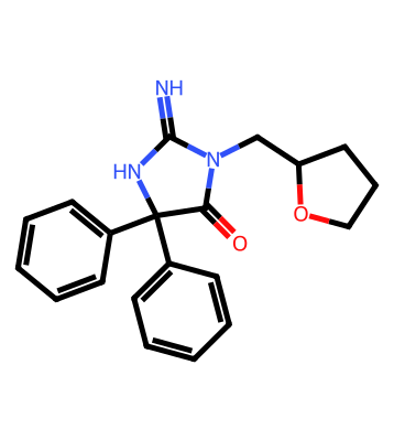 N=C1NC(c2ccccc2)(c2ccccc2)C(=O)N1CC1CCCO1